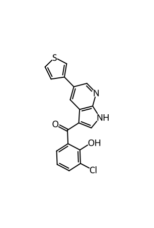 O=C(c1cccc(Cl)c1O)c1c[nH]c2ncc(-c3ccsc3)cc12